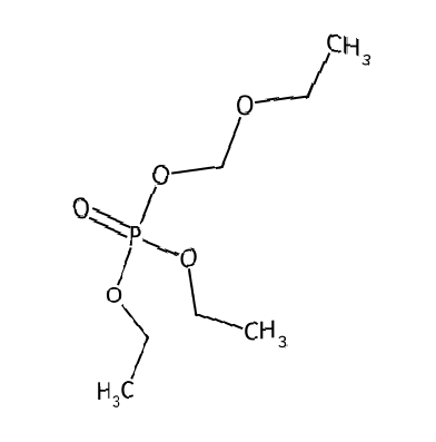 CCOCOP(=O)(OCC)OCC